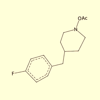 CC(=O)ON1CCC(Cc2ccc(F)cc2)CC1